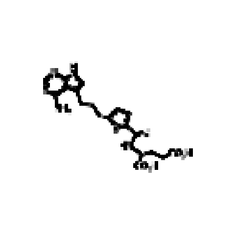 Nc1ncnc2[nH]cc(CCCc3ccc(C(=O)NC(CCC(=O)O)C(=O)O)s3)c12